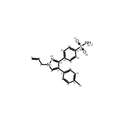 C=CCn1cc(-c2ccc(C)cc2)c(-c2ccc(S(N)(=O)=O)cc2)n1